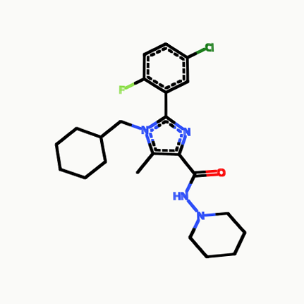 Cc1c(C(=O)NN2CCCCC2)nc(-c2cc(Cl)ccc2F)n1CC1CCCCC1